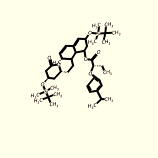 CC[C@H](Oc1ccc(C(C)C)cc1)C(=O)OC1CC(O[Si](C)(C)C(C)(C)C)C=C2C=CC(C)C(CC[C@@H]3C[C@@H](O[Si](C)(C)C(C)(C)C)CC(=O)O3)C21